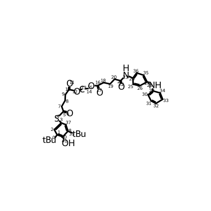 CC(C)(C)c1cc(SC(=O)CCCC(=O)OCCOC(=O)CCCC(=O)Nc2ccc(Nc3ccccc3)cc2)cc(C(C)(C)C)c1O